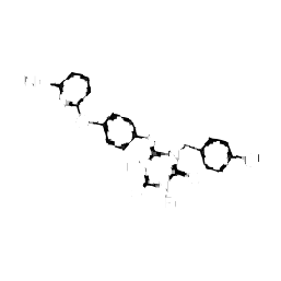 CCn1c(=O)[nH]/c(=N\c2ccc(Oc3cccc(C#N)n3)cc2)n(Cc2ccc(Cl)cc2)c1=O